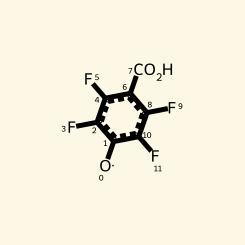 [O]c1c(F)c(F)c(C(=O)O)c(F)c1F